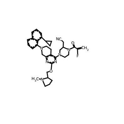 C=C(F)C(=O)N1CCN(c2nc(OCC3CCCN3C)nc3c2CCN(c2cccc4cccc(C5CC5)c24)C3)CC1CC#N